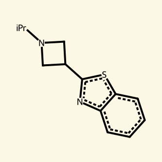 CC(C)N1CC(c2nc3ccccc3s2)C1